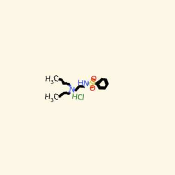 CCCCN(CCCC)CCCNS(=O)(=O)c1ccccc1.Cl